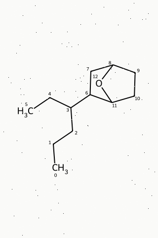 CCCC(CC)C1CC2CCC1O2